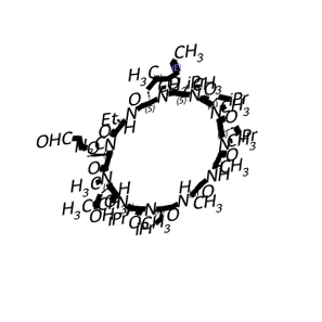 C/C=C/C[C@@H](C)C[C@H]1C(=O)N[C@@H](CC)C(=O)N(C)[C@H](COCCC=O)C(=O)N(C)[C@@H](CC(C)(C)O)C(=O)N[C@H](C(C)C)C(=O)N(C)[C@H](CC(C)C)C(=O)N[C@H](C)C(=O)N[C@@H](C)C(=O)N(C)[C@@H](CC(C)C)C(=O)N(C)[C@@H](CC(C)C)C(=O)N(C)[C@@H](C(C)C)C(=O)N1C